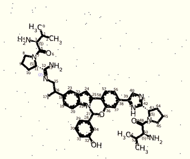 CC(C)[C@H](N)C(=O)N1CCC[C@H]1/C(N)=N/CC(I)c1ccc2c(c1)cc1n2C(c2cccc(O)c2)Oc2cc(-c3cnc([C@@H]4CCCN4C(=O)[C@@H](N)C(C)C)[nH]3)ccc2-1